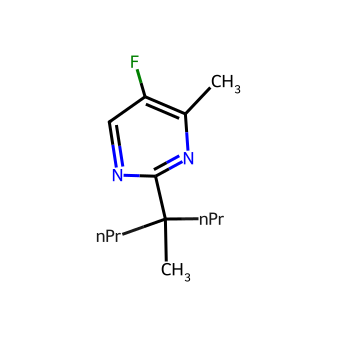 CCCC(C)(CCC)c1ncc(F)c(C)n1